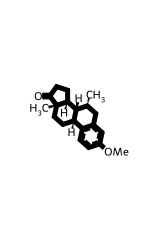 COc1ccc2c(c1)C[C@@H](C)[C@@H]1[C@@H]2CC[C@]2(C)C(=O)CC[C@@H]12